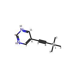 C[Si](C)(C)C#Cc1cncnc1